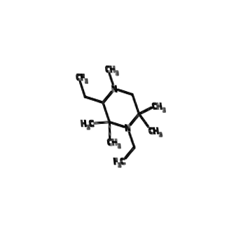 CN1CC(C)(C)N(CC(F)(F)F)C(C)(C)C1CC(F)(F)F